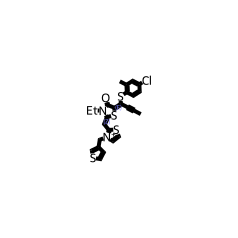 CC#C/C(Sc1ccc(Cl)cc1C)=c1\s/c(=C\c2scc[n+]2Cc2ccsc2)n(CC)c1=O